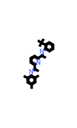 C/C(=N\c1ccccc1C(C)(C)C)c1cccc(/C(C)=N/c2c(C)cc(C)cc2C)n1